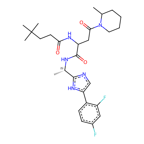 CC1CCCCN1C(=O)CC(NC(=O)CCC(C)(C)C)C(=O)N[C@@H](C)c1ncc(-c2ccc(F)cc2F)[nH]1